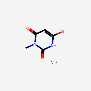 Cn1c(=O)cc([O-])[nH]c1=O.[Na+]